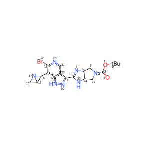 CC(C)(C)OC(=O)N1CC2N=C(c3n[nH]c4c(C5C6CN65)c(Br)ncc34)NC2C1